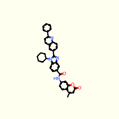 Cc1cc(=O)oc2cc(NC(=O)c3ccc4c(c3)nc(-c3ccc5nc(-c6ccccc6)ccc5c3)n4C3CCCCC3)ccc12